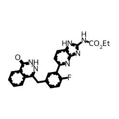 CCOC(=O)Nc1nc2nc(-c3cc(Cc4n[nH]c(=O)c5ccccc45)ccc3F)ccc2[nH]1